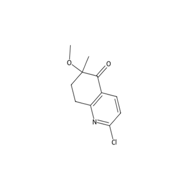 COC1(C)CCc2nc(Cl)ccc2C1=O